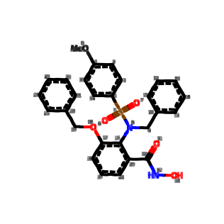 COc1ccc(S(=O)(=O)N(Cc2ccccc2)c2c(OCc3ccccc3)cccc2C(=O)NO)cc1